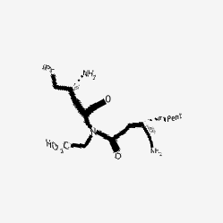 CCCCC[C@H](N)CC(=O)N(CC(=O)O)C(=O)C[C@@H](N)CC(C)C